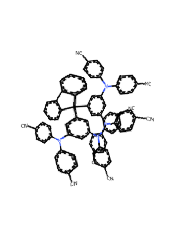 [C-]#[N+]c1ccc(N(c2ccc(C#N)cc2)c2cc(N(c3ccc(C#N)cc3)c3ccc(C#N)cc3)cc(C3(c4cc(N(c5ccc(C#N)cc5)c5ccc([N+]#[C-])cc5)cc(N(c5ccc(C#N)cc5)c5ccc([N+]#[C-])cc5)c4)c4ccccc4-c4ccccc43)c2)cc1